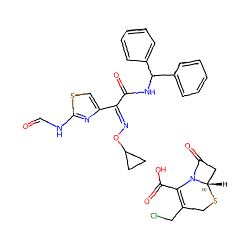 O=C(O)C1=C(CCl)CS[C@H]2CC(=O)N12.O=CNc1nc(C(=NOC2CC2)C(=O)NC(c2ccccc2)c2ccccc2)cs1